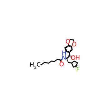 CCCCCCCC(=O)N[C@H](CC1CC[C@@H](F)C1)[C@H](O)c1ccc2c(c1)OCCO2